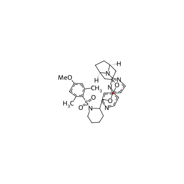 COc1cc(C)c(S(=O)(=O)N2CCCCC2COc2ccnc(N3[C@@H]4CC[C@H]3CC(Oc3ccncc3)C4)n2)c(C)c1